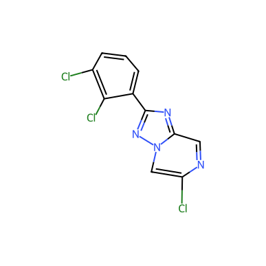 Clc1cn2nc(-c3cccc(Cl)c3Cl)nc2cn1